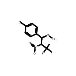 COC(c1ccc(Cl)cc1)C([N+](=O)[O-])C(F)(F)F